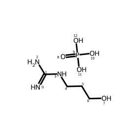 N=C(N)NCCCO.O=P(O)(O)O